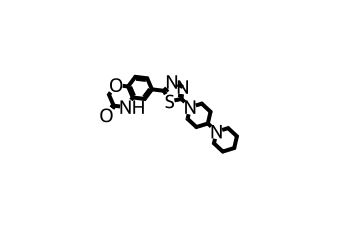 O=C1COc2ccc(-c3nnc(N4CCC(N5CCCCC5)CC4)s3)cc2N1